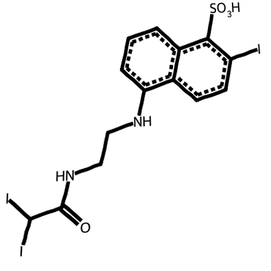 O=C(NCCNc1cccc2c(S(=O)(=O)O)c(I)ccc12)C(I)I